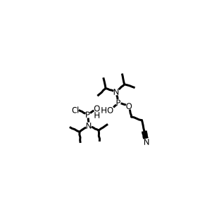 CC(C)N(C(C)C)P(O)Cl.CC(C)N(C(C)C)P(O)OCCC#N